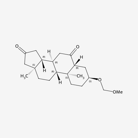 COCO[C@H]1CC[C@@]2(C)[C@@H]3CC[C@@]4(C)CC(=O)C[C@@H]4[C@H]3CC(=O)[C@@H]2C1